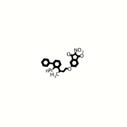 CCCc1c(-c2ccccc2)cccc1C(C)CCOc1ccc2c(c1)C(=O)C([N+](=O)[O-])C2=O